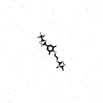 Cc1cc(-c2noc(C(F)(F)F)n2)cc(C)c1OCCSc1nnc(C)n1C